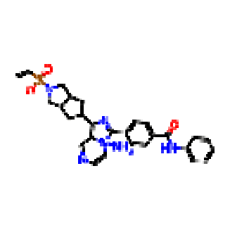 C=CS(=O)(=O)N1CC2CC(C3=C4C=NC=C[N+]4(N)C(c4ccc(C(=O)Nc5ccccc5)cc4)=N3)CC2C1